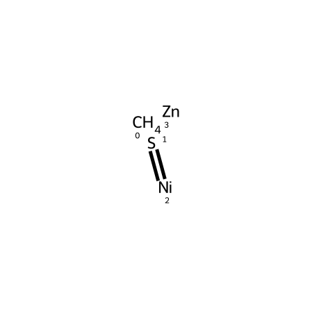 C.[S]=[Ni].[Zn]